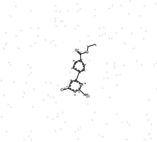 CCOC(=O)c1ccc(-c2cc(Cl)nc(N)n2)cc1